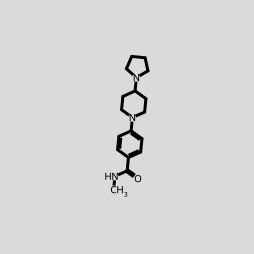 CNC(=O)c1ccc(N2CCC(N3CCCC3)CC2)cc1